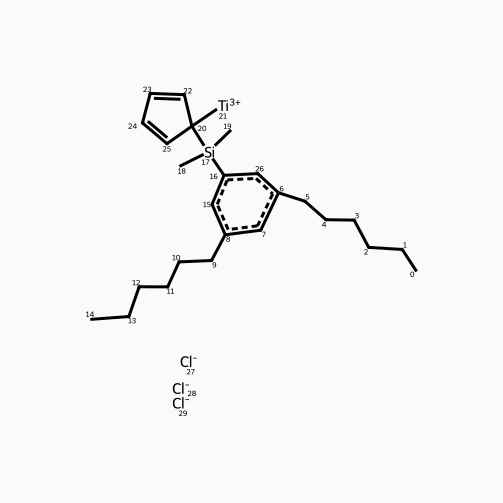 CCCCCCc1cc(CCCCCC)cc([Si](C)(C)[C]2([Ti+3])C=CC=C2)c1.[Cl-].[Cl-].[Cl-]